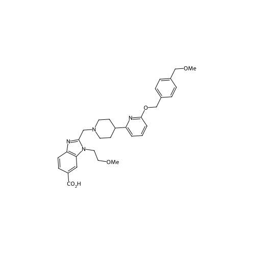 COCCn1c(CN2CCC(c3cccc(OCc4ccc(COC)cc4)n3)CC2)nc2ccc(C(=O)O)cc21